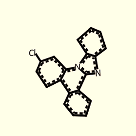 Clc1ccc2c3ccccc3c3nc4ccccc4n3c2c1